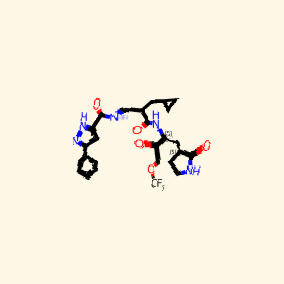 O=C(/N=C/C(CC1CC1)C(=O)N[C@@H](C[C@@H]1CCNC1=O)C(=O)COC(F)(F)F)c1cc(-c2ccccc2)n[nH]1